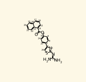 NC(N)=Nc1nc(-c2ccc(OC(=O)c3cccc4ccccc34)cc2)cs1